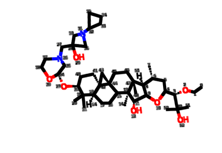 CCO[C@@H](C1C[C@@H](C)[C@H]2C(O1)[C@H](O)[C@@]1(C)C3CC[C@H]4C(C)(C)[C@@H](O[C@H]5CN(CC6(O)CN(C7CCC7)C6)CCO5)CC[C@@]45C[C@@]35CC[C@]21C)C(C)(C)O